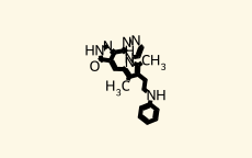 Cc1[nH]c(/C=C2/C(=O)NN=C2c2nccnn2)c(C)c1CCNc1ccccc1